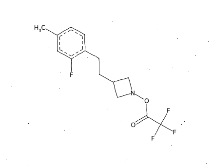 Cc1ccc(CCC2CN(OC(=O)C(F)(F)F)C2)c(F)c1